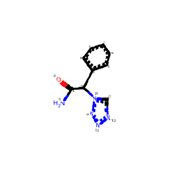 NC(=O)C(c1ccccc1)n1cnnn1